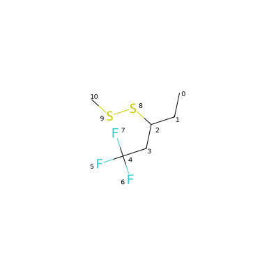 CCC(CC(F)(F)F)SSC